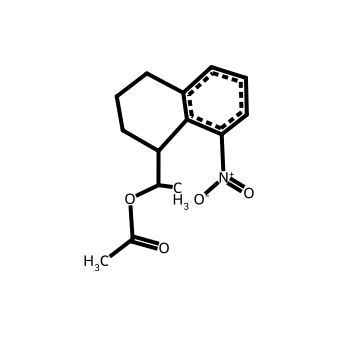 CC(=O)OC(C)C1CCCc2cccc([N+](=O)[O-])c21